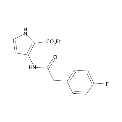 CCOC(=O)c1[nH]ccc1NC(=O)Cc1ccc(F)cc1